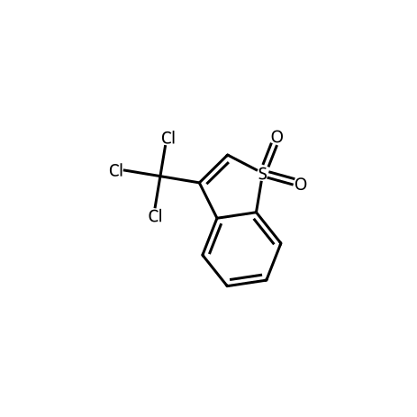 O=S1(=O)C=C(C(Cl)(Cl)Cl)c2ccccc21